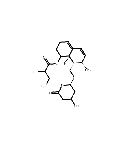 CCC(C)C(=O)OC1CCC=C2C=C[C@H](C)[C@H](CC[C@@H]3CC(O)CC(=O)O3)[C@H]21